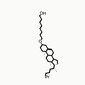 CC(C)CCC[C@@H](C)[C@H]1CCC2C3CC=C4C[C@H](OCCCCCCCCO)CC[C@]4(C)C3CC[C@@]21C